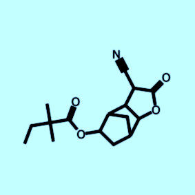 CCC(C)(C)C(=O)OC1CC2CC1C1C(C#N)C(=O)OC21